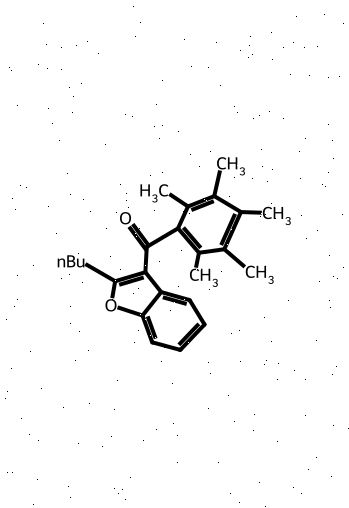 CCCCc1oc2ccccc2c1C(=O)c1c(C)c(C)c(C)c(C)c1C